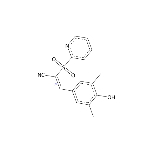 Cc1cc(/C=C(/C#N)S(=O)(=O)c2ccccn2)cc(C)c1O